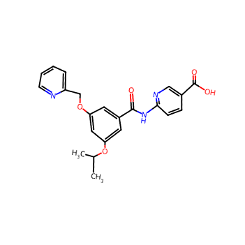 CC(C)Oc1cc(OCc2ccccn2)cc(C(=O)Nc2ccc(C(=O)O)cn2)c1